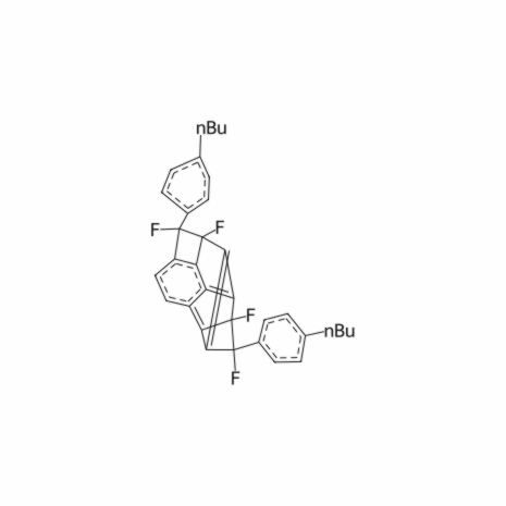 CCCCc1ccc(C2(F)C3=C4C5=c6c7c(ccc6=C3C52F)C(F)(c2ccc(CCCC)cc2)C47F)cc1